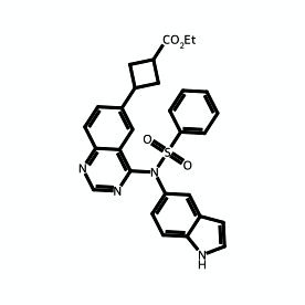 CCOC(=O)C1CC(c2ccc3ncnc(N(c4ccc5[nH]ccc5c4)S(=O)(=O)c4ccccc4)c3c2)C1